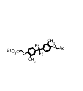 CCOC(=O)COc1ccc(C(CC)(CC)c2ccc(OCC(C)=O)c(C)c2)cc1C